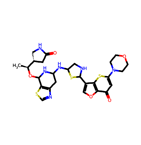 C[C@H](OC1NC(NC2CNC(c3coc4c(=O)cc(N5CCOCC5)sc34)S2)Cc2ncsc21)[C@@H]1CNC(=O)C1